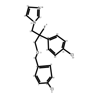 FC(COCc1ccc(Cl)cc1)(Cn1ccnc1)c1ccc(Cl)cc1